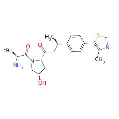 Cc1ncsc1-c1ccc([C@H](C)CC(=O)[C@@H]2C[C@@H](O)CN2C(=O)[C@@H](N)C(C)(C)C)cc1